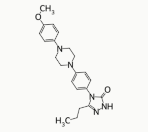 CCCc1n[nH]c(=O)n1-c1ccc(N2CCN(c3ccc(OC)cc3)CC2)cc1